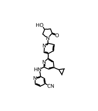 N#Cc1ccnc(Nc2cc(C3CC3)cc(-c3ccc(N4CC(O)CC4=O)nc3)n2)c1